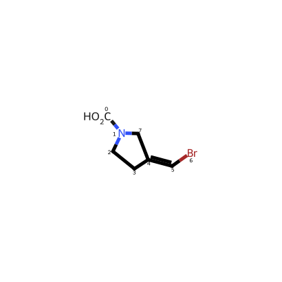 O=C(O)N1CC/C(=C/Br)C1